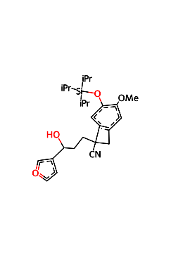 COc1cc2c(cc1O[Si](C(C)C)(C(C)C)C(C)C)C(C#N)(CCC(O)c1ccoc1)C2